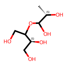 C[C@H](O)C(O)OC(CO)[C@@H](O)CO